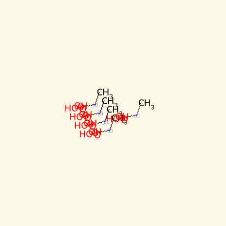 CCCCCCCC/C=C\CCCCCCCC(=O)OCC(O)CO.CCCCCCCC/C=C\CCCCCCCC(=O)OCC(O)CO.CCCCCCCC/C=C\CCCCCCCC(=O)OCC(O)CO.CCCCCCCC/C=C\CCCCCCCC(=O)OCC(O)CO.CCCCCCCC/C=C\CCCCCCCC(=O)OCC(O)CO